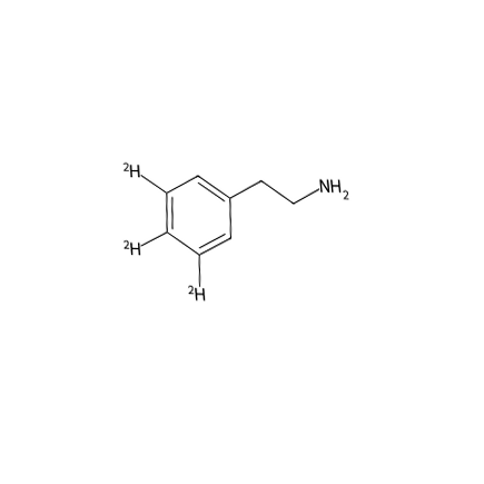 [2H]c1cc(CCN)cc([2H])c1[2H]